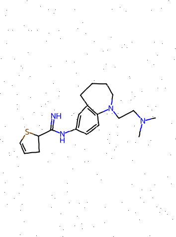 CN(C)CCN1CCCCc2cc(NC(=N)C3CC=CS3)ccc21